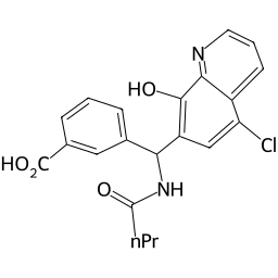 CCCC(=O)NC(c1cccc(C(=O)O)c1)c1cc(Cl)c2cccnc2c1O